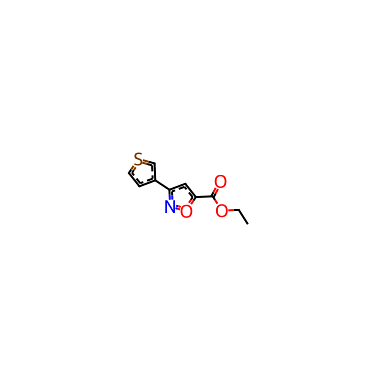 CCOC(=O)c1cc(-c2ccsc2)no1